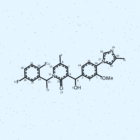 COc1cc(C(O)c2cc(C)cn(C(C)c3cc(F)ccc3F)c2=O)ccc1-n1cnc(C)c1